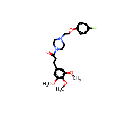 COc1cc(CCC(=O)N2CCN(CCOc3ccc(F)cc3)CC2)cc(OC)c1OC